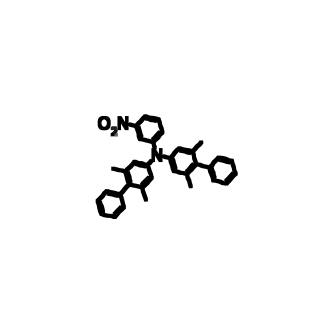 Cc1cc(N(c2cccc([N+](=O)[O-])c2)c2cc(C)c(-c3ccccc3)c(C)c2)cc(C)c1-c1ccccc1